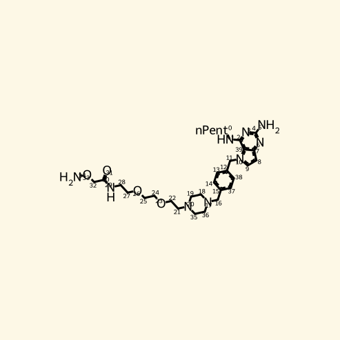 CCCCCNc1nc(N)nc2ccn(Cc3ccc(CN4CCN(CCOCCOCCNC(=O)CON)CC4)cc3)c12